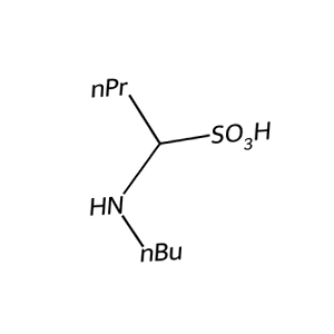 CCCCNC(CCC)S(=O)(=O)O